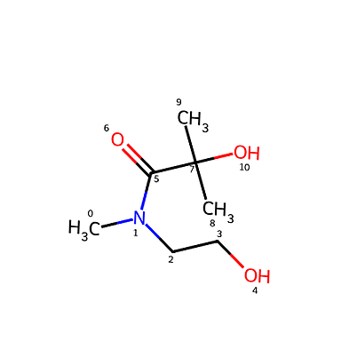 CN(CCO)C(=O)C(C)(C)O